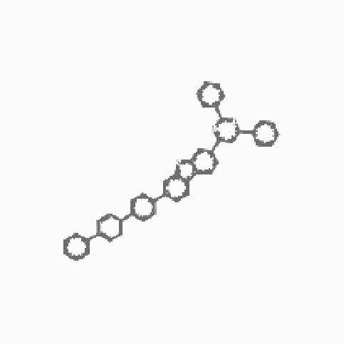 C1=CC(c2ccc(-c3ccc4c(c3)sc3cc(-c5cc(-c6ccccc6)nc(-c6ccccc6)n5)ccc34)cc2)CC=C1c1ccccc1